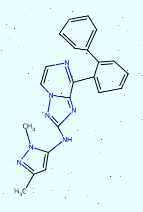 Cc1cc(Nc2nc3c(-c4ccccc4-c4ccccc4)nccn3n2)n(C)n1